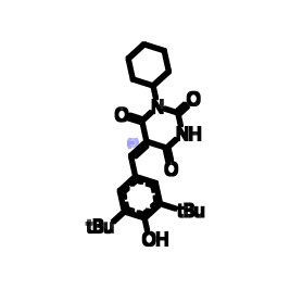 CC(C)(C)c1cc(/C=C2\C(=O)NC(=O)N(C3CCCCC3)C2=O)cc(C(C)(C)C)c1O